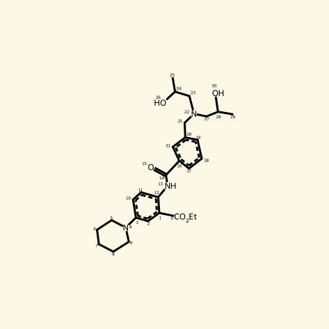 CCOC(=O)c1cc(N2CCCCC2)ccc1NC(=O)c1cccc(CN(CC(C)O)CC(C)O)c1